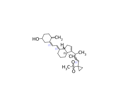 C=C1CCC(O)C/C1=C/C=C1\CCC[C@]2(C)C(C(C)/C=C/C3(S(C)(=O)=O)CC3)=CC[C@@H]12